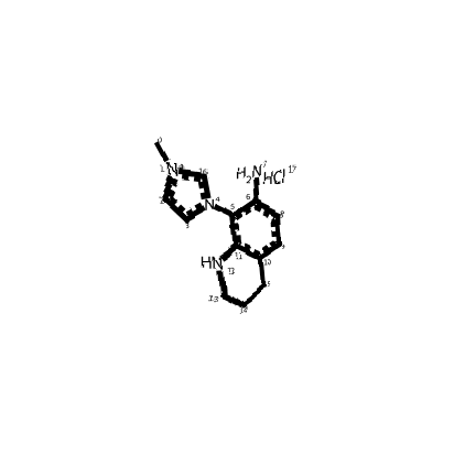 C[n+]1ccn(-c2c(N)ccc3c2NCCC3)c1.Cl